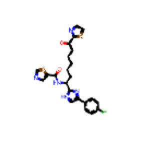 O=C(NC(CCCCCC(=O)c1nccs1)c1nc(-c2ccc(F)cc2)c[nH]1)c1cncs1